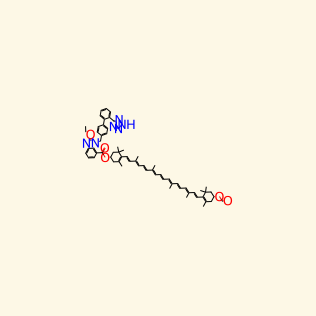 CCOc1nc2cccc(C(=O)OC3CC(C)=C(/C=C/C(C)=C/C=C/C(C)=C/C=C/C=C(C)/C=C/C=C(C)/C=C/C4=C(C)CC(OC=O)CC4(C)C)C(C)(C)C3)c2n1Cc1ccc(-c2ccccc2-c2nn[nH]n2)cc1